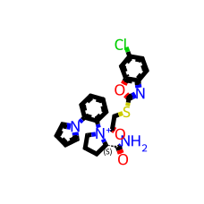 NC(=O)[C@@H]1CCC[N+]1(C(=O)CSc1nc2ccc(Cl)cc2o1)c1ccccc1-n1cccc1